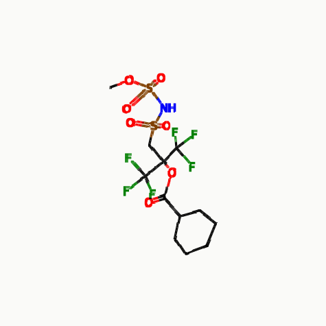 COS(=O)(=O)NS(=O)(=O)CC(OC(=O)C1CCCCC1)(C(F)(F)F)C(F)(F)F